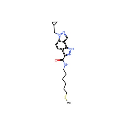 CC(=O)SCCCCCCNC(=O)c1n[nH]c2c1ccc1c2cnn1CC1CC1